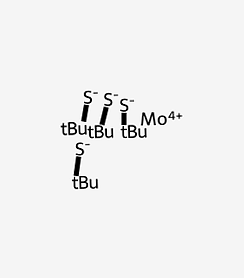 CC(C)(C)[S-].CC(C)(C)[S-].CC(C)(C)[S-].CC(C)(C)[S-].[Mo+4]